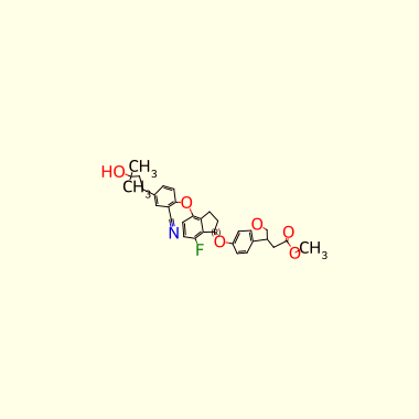 COC(=O)CC1COc2cc(O[C@@H]3CCc4c(Oc5ccc(CCC(C)(C)O)cc5C#N)ccc(F)c43)ccc21